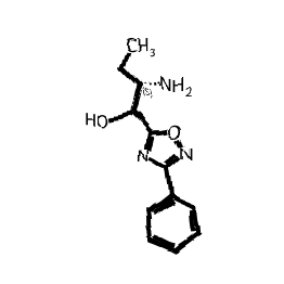 CC[C@H](N)C(O)c1nc(-c2ccccc2)no1